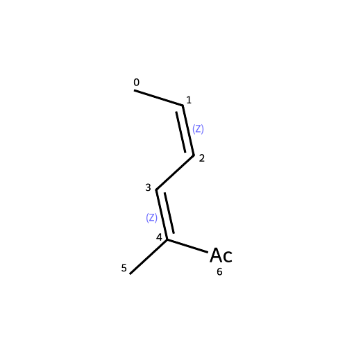 C/C=C\C=C(\C)C(C)=O